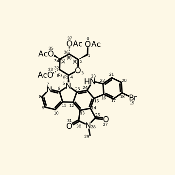 CC(=O)OC[C@H]1O[C@@H](n2c3ncccc3c3c4c(c5c6cc(Br)ccc6[nH]c5c32)C(=O)N(C)C4=O)[C@H](OC(C)=O)[C@@H](OC(C)=O)[C@@H]1OC(C)=O